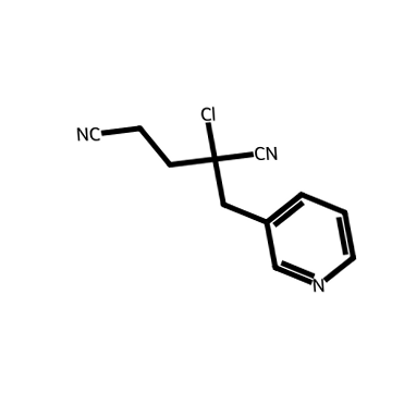 N#CCCC(Cl)(C#N)Cc1cccnc1